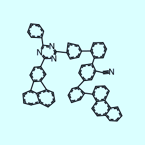 N#Cc1cc(-c2ccccc2-c2cccc3c2ccc2ccccc23)ccc1-c1ccccc1-c1ccc(-c2nc(-c3ccccc3)nc(-c3ccc4c(c3)-c3cccc5cccc-4c35)n2)cc1